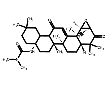 CN(C)C(=O)N[C@]12CCC(C)(C)CC1C1C(=O)C=C3[C@@]4(C)[C@H]5O[C@@]5(C#N)C(=O)C(C)(C)[C@@H]4CC[C@@]3(C)[C@]1(C)CC2